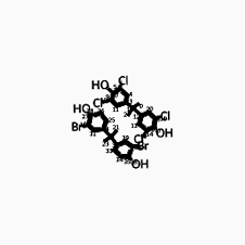 CC(C)(c1cc(Cl)c(O)c(Cl)c1)c1cc(Cl)c(O)c(Cl)c1.CC(C)(c1ccc(O)c(Br)c1)c1ccc(O)c(Br)c1